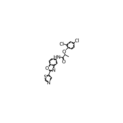 CC(Oc1ccc(Cl)cc1Cl)C(=O)Nc1ccc2oc(-c3cncs3)nc2c1